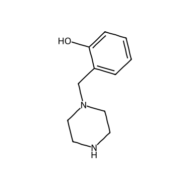 Oc1ccccc1CN1CCNCC1